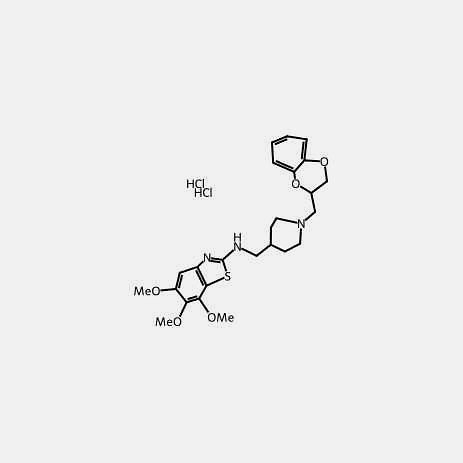 COc1cc2nc(NCC3CCN(CC4COc5ccccc5O4)CC3)sc2c(OC)c1OC.Cl.Cl